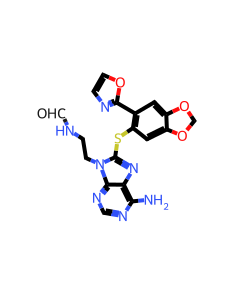 Nc1ncnc2c1nc(Sc1cc3c(cc1-c1ncco1)OCO3)n2CCNC=O